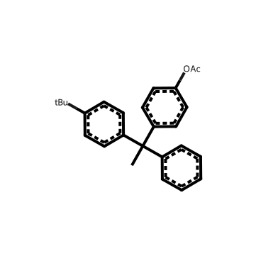 CC(=O)Oc1ccc(C(C)(c2ccccc2)c2ccc(C(C)(C)C)cc2)cc1